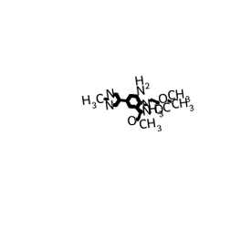 CC(=O)c1nn(CC(=O)OC(C)(C)C)c2c(N)cc(-c3cnc(C)nc3)cc12